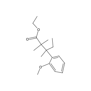 CCOC(=O)C(C)(C)C(C)(CC)c1ccccc1OC